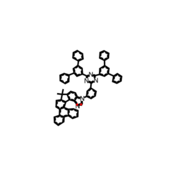 CC1(C)c2ccc3c4ccccc4c4ccccc4c3c2-c2c1ccc1c2c2cnccc2n1-c1cccc(-c2nc(-c3cc(-c4ccccc4)cc(-c4ccccc4)c3)nc(-c3cc(-c4ccccc4)cc(-c4ccccc4)c3)n2)c1